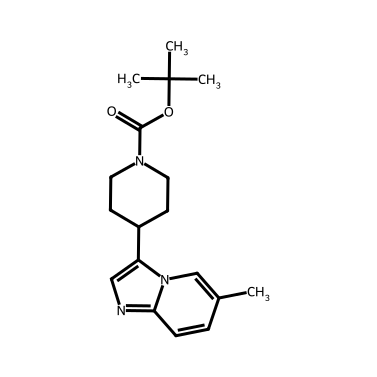 Cc1ccc2ncc(C3CCN(C(=O)OC(C)(C)C)CC3)n2c1